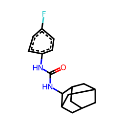 O=C(Nc1ccc(F)cc1)NC1C2CC3CC(C2)CC1C3